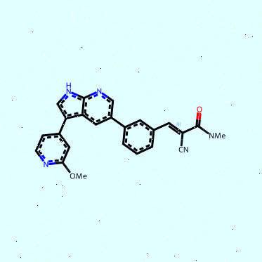 CNC(=O)/C(C#N)=C/c1cccc(-c2cnc3[nH]cc(-c4ccnc(OC)c4)c3c2)c1